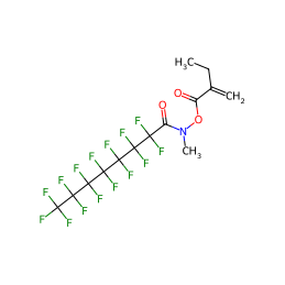 C=C(CC)C(=O)ON(C)C(=O)C(F)(F)C(F)(F)C(F)(F)C(F)(F)C(F)(F)C(F)(F)C(F)(F)F